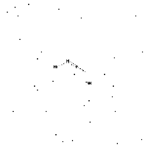 OC/B=N/O